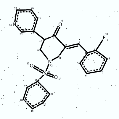 O=C1C(=Cc2ccccc2F)CN(S(=O)(=O)c2ccccc2)CC1c1cccnc1